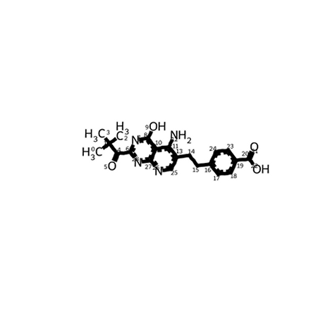 CC(C)(C)C(=O)c1nc(O)c2c(N)c(CCc3ccc(C(=O)O)cc3)cnc2n1